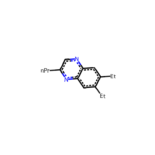 CCCc1cnc2cc(CC)c(CC)cc2n1